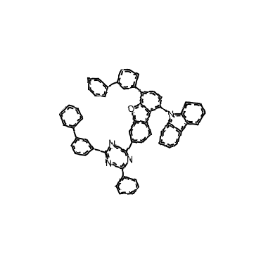 c1ccc(-c2cccc(-c3nc(-c4ccccc4)nc(-c4ccc5c(c4)oc4c(-c6cccc(-c7ccccc7)c6)ccc(-n6c7ccccc7c7ccccc76)c45)n3)c2)cc1